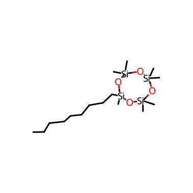 CCCCCCCCC[Si]1(C)O[Si](C)(C)O[Si](C)(C)O[Si](C)(C)O1